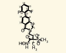 C[C@@](CCn1cnc2cc(-c3c(F)cccc3F)ccc2c1=O)(C(=O)NO)S(C)(=O)=O